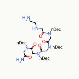 CCCCCCCCCCN(CC(N)=O)C(=O)CN(CCCCCCCCCC)C(=O)CN(CCCCCCCCCC)C(=O)CN(CCCCCCCCCC)C(=O)CNCCN